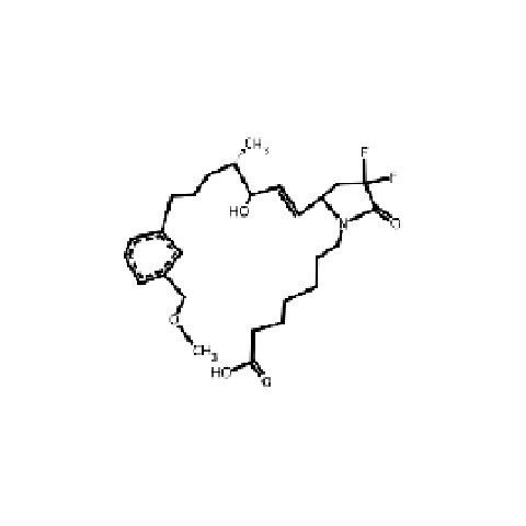 COCc1cccc(CCC[C@H](C)[C@H](O)C=CC2CC(F)(F)C(=O)N2CCCCCCC(=O)O)c1